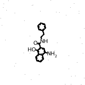 Nc1cc(C(=O)NCCc2ccccc2)c(O)c2ccccc12